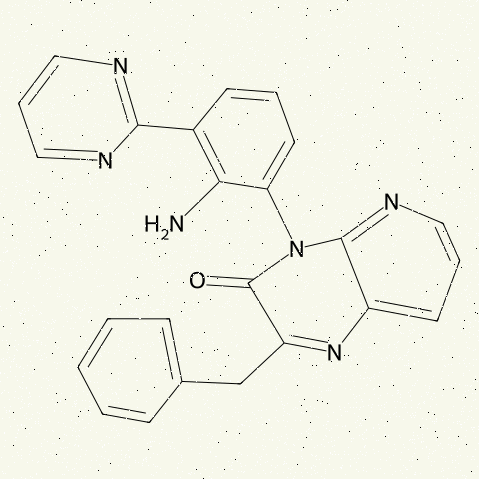 Nc1c(-c2ncccn2)cccc1-n1c(=O)c(Cc2ccccc2)nc2cccnc21